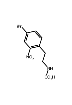 CC(C)c1ccc(CCNC(=O)O)c([N+](=O)[O-])c1